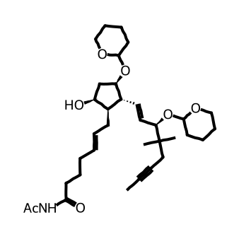 CC#CCC(C)(C)[C@@H](C=C[C@@H]1[C@@H](CC=CCCCC(=O)NC(C)=O)[C@@H](O)C[C@H]1OC1CCCCO1)OC1CCCCO1